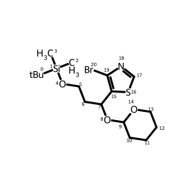 CC(C)(C)[Si](C)(C)OCCC(OC1CCCCO1)c1scnc1Br